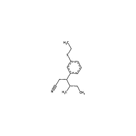 CCSc1cccc(C(CC#N)C(C)CC)c1